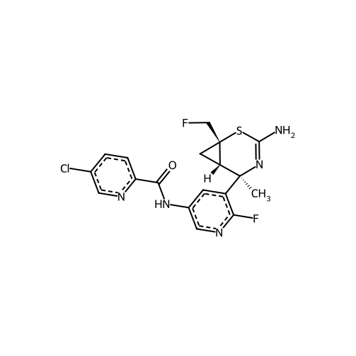 C[C@@]1(c2cc(NC(=O)c3ccc(Cl)cn3)cnc2F)N=C(N)S[C@@]2(CF)C[C@H]21